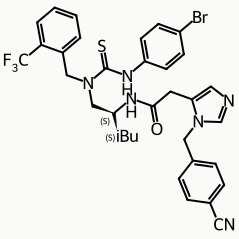 CC[C@H](C)[C@@H](CN(Cc1ccccc1C(F)(F)F)C(=S)Nc1ccc(Br)cc1)NC(=O)Cc1cncn1Cc1ccc(C#N)cc1